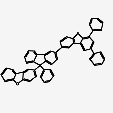 c1ccc(-c2cc(-c3ccccc3)c3sc4ccc(-c5ccc6c(c5)-c5ccccc5C6(c5ccccc5)c5ccc6oc7ccccc7c6c5)cc4c3c2)cc1